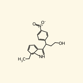 CCc1cccc2c(C(CCO)c3ccc([N+](=O)[O-])cc3)c[nH]c12